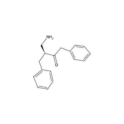 NC[C@H](Cc1ccccc1)C(=O)Cc1ccccc1